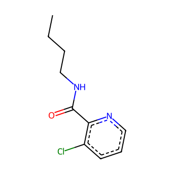 CCCCNC(=O)c1ncccc1Cl